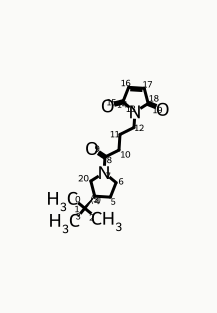 CC(C)(C)[C@@H]1CCN(C(=O)CCCN2C(=O)C=CC2=O)C1